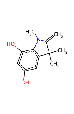 C=C1N(C)c2c(O)cc(O)cc2C1(C)C